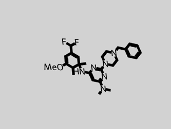 COC1=CC(C(F)F)=CC(C)(Nc2cc(N(C)C)nc(N3CCN(Cc4ccccc4)CC3)n2)C1C